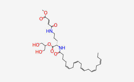 CC/C=C\C/C=C\C/C=C\C/C=C\C/C=C\CCCC(=O)N[C@@H](CCCNC(=O)/C=C/C(=O)OC)C(=O)OC(CO)CO